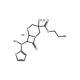 CC(=O)N(c1cccs1)C1C(=O)N2CC(C(=O)O)(C(=O)OCCBr)CS[C@H]12